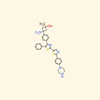 CC1(O)CC(N)(c2ccc(-c3nc(-c4cnc(-c5ccc(N6CCNCC6)cc5)s4)sc3-c3ccccc3)cc2)C1